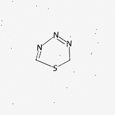 C1=NN=NCS1